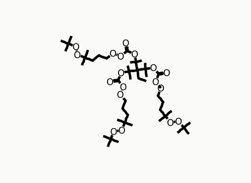 CCC(C(C)(C)OC(=O)OOCCCC(C)(C)OOC(C)(C)C)(C(C)(C)OC(=O)OOCCCC(C)(C)OOC(C)(C)C)C(C)(C)OC(=O)OOCCCC(C)(C)OOC(C)(C)C